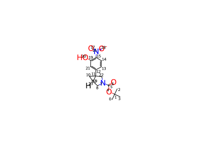 CC(C)(C)OC(=O)N1C[C@H]2CC2(c2ccc([N+](=O)[O-])c(O)c2)C1